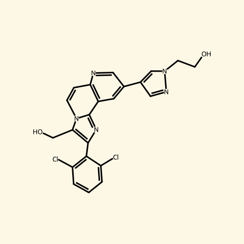 OCCn1cc(-c2cnc3ccn4c(CO)c(-c5c(Cl)cccc5Cl)nc4c3c2)cn1